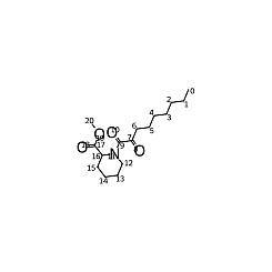 CCCCCCCC(=O)C(=O)N1CCCCC1C(=O)OC